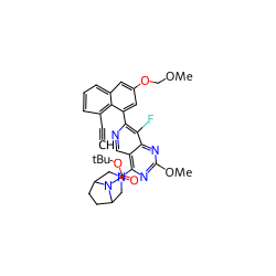 C#Cc1cccc2cc(OCOC)cc(-c3ncc4c(N5CC6CCC(C5)N6C(=O)OC(C)(C)C)nc(OC)nc4c3F)c12